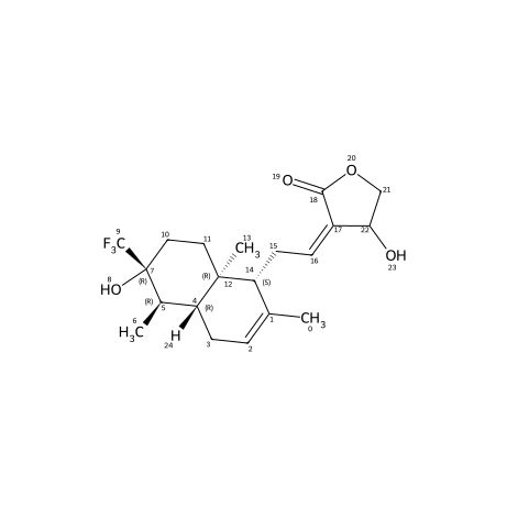 CC1=CC[C@@H]2[C@@H](C)[C@@](O)(C(F)(F)F)CC[C@@]2(C)[C@@H]1CC=C1C(=O)OCC1O